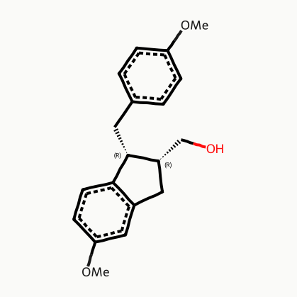 COc1ccc(C[C@H]2c3ccc(OC)cc3C[C@H]2CO)cc1